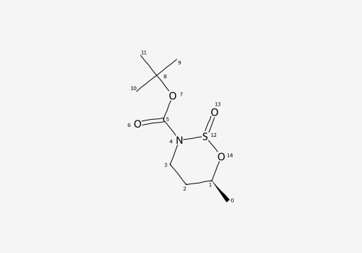 C[C@H]1CCN(C(=O)OC(C)(C)C)S(=O)O1